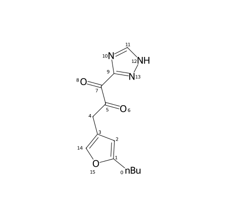 CCCCc1cc(CC(=O)C(=O)c2nc[nH]n2)co1